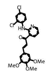 COc1cc(C=CC(=O)c2cccnc2Nc2ccc(Cl)cc2Cl)cc(OC)c1OC